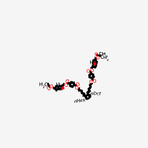 C=CC(=O)OCC1CC2C3CC(COC(=O)C4CCC(C(=O)OCCCCCCC5C(CCCCCC)CCC(CCCCCCCC)C5CCCCCCOC(=O)C5CCC(C(=O)OCC6CC7CC6[C@H]6CC(COC(=O)C(=C)C)CC76)CC5)CC4)C(C3)[C@H]2C1